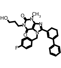 Cn1c(=O)n(CCCO)c(=O)c2c1nc(C1=CC(c3ccccc3)=CCC1)n2CC1=C=C=C(F)C=C1